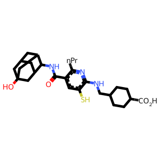 CCCc1nc(NCC2CCC(C(=O)O)CC2)c(S)cc1C(=O)NC1C2CC3CC1CC(O)(C3)C2